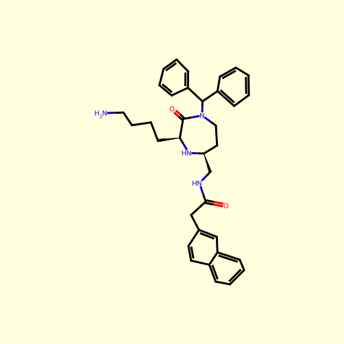 NCCCC[C@@H]1N[C@H](CNC(=O)Cc2ccc3ccccc3c2)CCN(C(c2ccccc2)c2ccccc2)C1=O